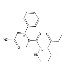 CCC(=O)C(C(C)C)[C@H](NC)C(=O)N(C)[C@@H](CC(=O)O)c1ccccc1